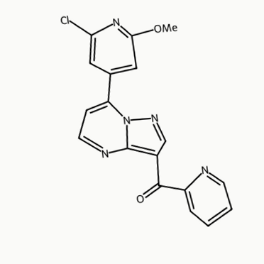 COc1cc(-c2ccnc3c(C(=O)c4ccccn4)cnn23)cc(Cl)n1